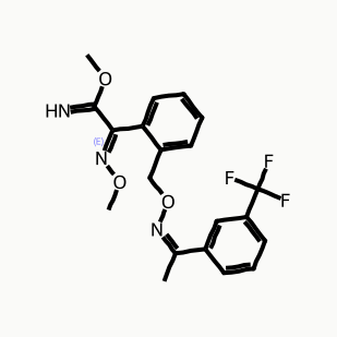 CO/N=C(/C(=N)OC)c1ccccc1CON=C(C)c1cccc(C(F)(F)F)c1